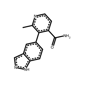 Cc1nccc(C(N)=O)c1-c1ccc2[nH]ncc2c1